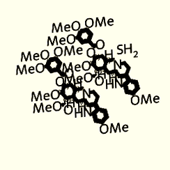 COC(=O)[C@H]1[C@H]2C[C@@H]3c4[nH]c5cc(OC)ccc5c4CCN3C[C@H]2C[C@@H](OC(=O)c2cc(OC)c(OC)c(OC)c2)[C@@H]1OC.COC(=O)[C@H]1[C@H]2C[C@@H]3c4[nH]c5cc(OC)ccc5c4CCN3C[C@H]2C[C@@H](OC(=O)c2cc(OC)c(OC)c(OC)c2)[C@@H]1OC.S